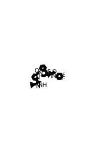 O=C(NC1CCC(F)(F)CC1)c1cc2c(s1)-c1ccccc1N(C(=O)c1cccc(-c3c[nH]nc3C3CC3)n1)CC2